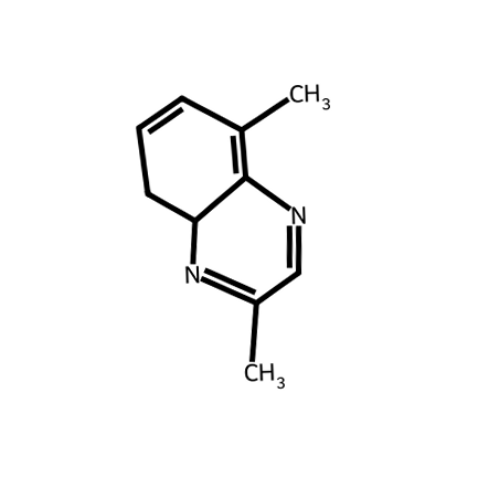 CC1=NC2CC=CC(C)=C2N=C1